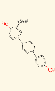 CCCCCc1cc(C2C=CC(c3ccc(O)cc3)C=C2)ccc1O